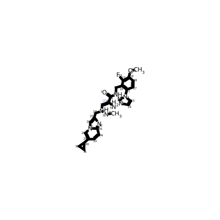 CNN(/C=C(\N)C(=O)NCc1c(-n2ccnn2)ccc(OC)c1F)Cc1cn2cc(C3CC3)ccc2n1